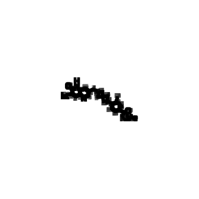 CCc1cc2ncc(CN3CC4(C3)CN(c3ccc(C(=O)NC)nc3C)C4)cc2[nH]c1=O